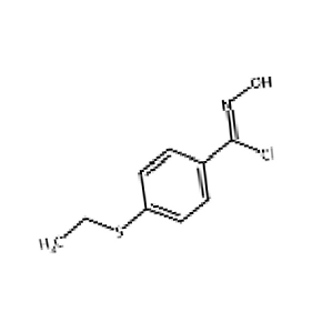 CCSc1ccc(/C(Cl)=N/O)cc1